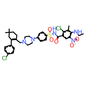 CCNc1c([N+](=O)[O-])cc(C(=O)NS(=O)(=O)c2ccc(N3CCN(CC4=C(c5ccc(Cl)cc5)CC(C)(C)CC4)CC3)cc2)c(Cl)c1C